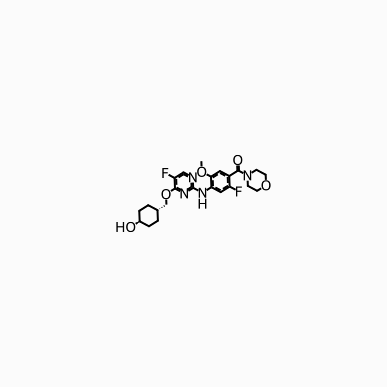 COc1cc(C(=O)N2CCOCC2)c(F)cc1Nc1ncc(F)c(OC[C@H]2CC[C@H](O)CC2)n1